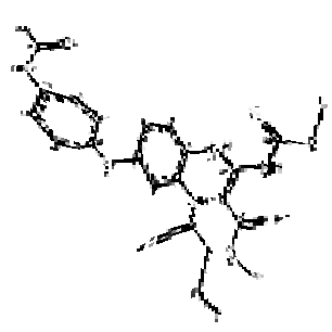 CCCC(=O)Nc1cc(Oc2ccc(NC(C)=O)cc2)ccc1NC(=NC(=O)OC)NC(=O)OC